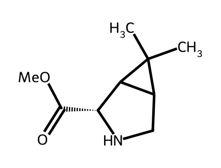 COC(=O)[C@H]1NCC2C1C2(C)C